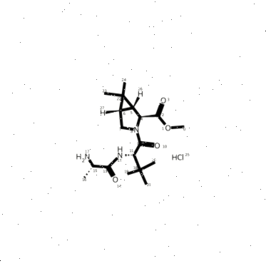 COC(=O)[C@@H]1[C@@H]2[C@H](CN1C(=O)[C@@H](NC(=O)[C@H](C)N)C(C)(C)C)C2(C)C.Cl